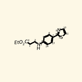 CCOC(=O)CCNc1ccc(-c2nccs2)cc1